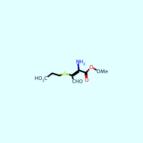 COOC(=O)/C(N)=C(\C=O)SCCC(=O)O